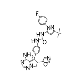 CC(C)(C)c1cc(NC(=O)Nc2ccc(C3=C4C(N)=NC=NN4CC3c3cnco3)cc2)n(-c2ccc(F)cc2)n1